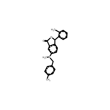 Cc1ccc(CN(C)c2ccc3c(c2)C(=O)OC3c2ccccc2C)cc1